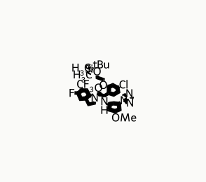 COc1cc(NC(C(=O)N2CCc3cc(F)c(C(F)(F)F)cc32)c2ccc(Cl)cc2OCCO[Si](C)(C)C(C)(C)C)cc(-n2cncn2)c1